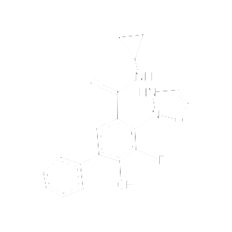 Cc1c(-c2ccccc2)cc(C(=O)NC2CC2)c(N2NC=CO2)c1F